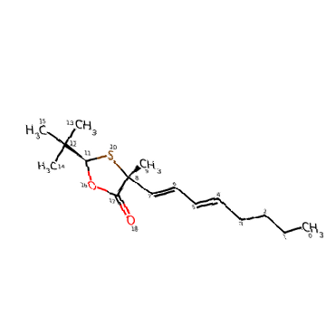 CCCC/C=C/C=C/[C@@]1(C)S[C@H](C(C)(C)C)OC1=O